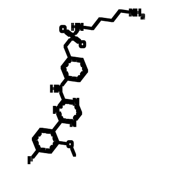 COc1cc(F)ccc1-c1ncnc(Nc2cccc(CS(=O)(=O)NCCCCN)c2)n1